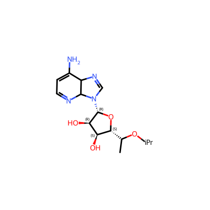 CC(C)OC(C)[C@H]1O[C@@H](N2C=NC3C(N)=CC=NC32)[C@H](O)[C@@H]1O